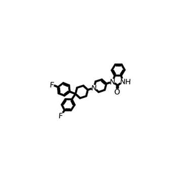 O=c1[nH]c2ccccc2n1C1=CCN(C2CCC(c3ccc(F)cc3)(c3ccc(F)cc3)CC2)CC1